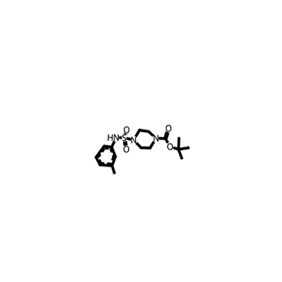 Cc1cccc(NS(=O)(=O)N2CCN(C(=O)OC(C)(C)C)CC2)c1